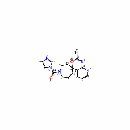 [2H]C1=Nc2ncccc2C2(CCCN(C(=O)n3ccnc3)CC2)O1